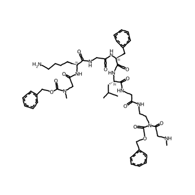 CNCC(=O)N(CCNC(=O)CNC(=O)[C@H](CC(C)C)NC(=O)[C@H](Cc1ccccc1)NC(=O)CNC(=O)[C@H](CCCCN)NC(=O)CN(C)C(=O)OCc1ccccc1)C(=O)OCc1ccccc1